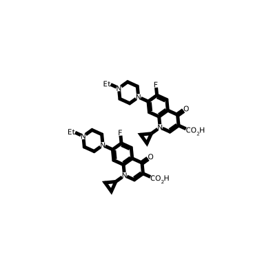 CCN1CCN(c2cc3c(cc2F)c(=O)c(C(=O)O)cn3C2CC2)CC1.CCN1CCN(c2cc3c(cc2F)c(=O)c(C(=O)O)cn3C2CC2)CC1